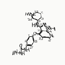 CC(C)NC(=O)Nc1ccc(Oc2ccnc3[nH]nc(N[C@@H]4CCCNC4)c23)cc1